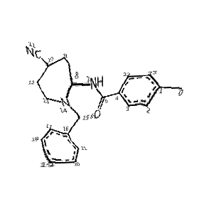 Cc1ccc(C(=O)NC2CC(C#N)CCN2Cc2ccccc2)cc1